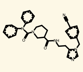 N#Cc1ccc(Cn2cncc2CCNC(=O)C2CCCN(C(=O)N(c3ccccc3)c3ccccc3)C2)cc1